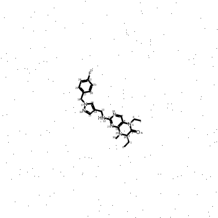 CC[C@@H]1C(=O)N(CC)c2cnc(NCc3cnn(Cc4ccc(F)cc4)c3)nc2N1C